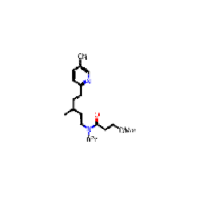 CCCN(CCC(C)CCc1ccc(C#N)cn1)C(=O)CCOC